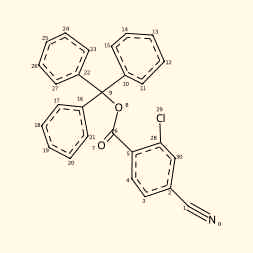 N#Cc1ccc(C(=O)OC(c2ccccc2)(c2ccccc2)c2ccccc2)c(Cl)c1